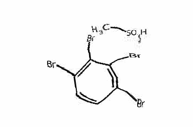 Brc1ccc(Br)c(Br)c1Br.CS(=O)(=O)O